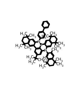 Cc1cc2c(cc1N1c3cc4c(cc3B3c5c(cc(C(C)(C)C)cc51)-c1cc5c(cc1N3c1ccc(-c3ccccc3)cc1)C(C)(C)CCC5(C)C)C(C)(C)CCC4(C)C)C(C)(C)CCC2(C)C